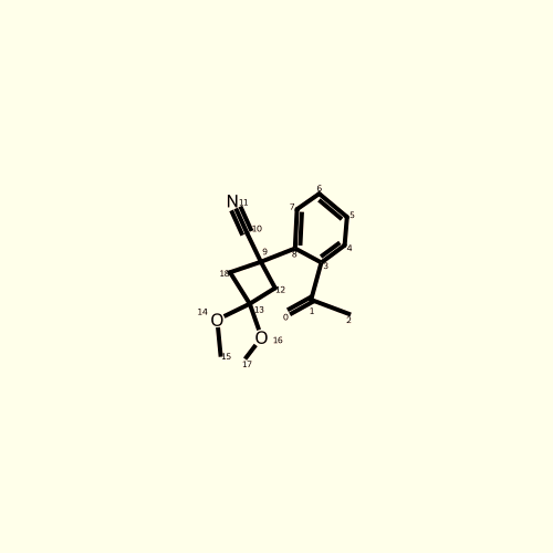 C=C(C)c1ccccc1C1(C#N)CC(OC)(OC)C1